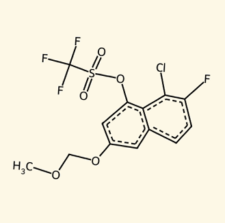 COCOc1cc(OS(=O)(=O)C(F)(F)F)c2c(Cl)c(F)ccc2c1